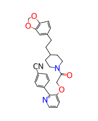 N#Cc1ccc(-c2ncccc2OCC(=O)N2CCC(CCc3ccc4c(c3)OCO4)CC2)cc1